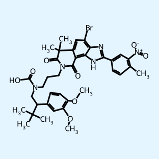 COc1ccc(C(CN(CCCN2C(=O)c3c(cc(Br)c4nc(-c5ccc(C)c([N+](=O)[O-])c5)[nH]c34)C(C)(C)C2=O)C(=O)O)C(C)(C)C)cc1OC